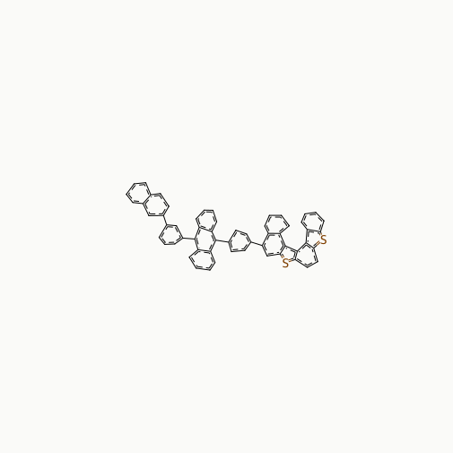 c1cc(-c2ccc3ccccc3c2)cc(-c2c3ccccc3c(-c3ccc(-c4cc5sc6ccc7sc8ccccc8c7c6c5c5ccccc45)cc3)c3ccccc23)c1